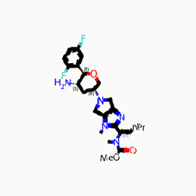 CCC/C=C(\c1nc2c(n1C)CN([C@H]1CO[C@H](c3cc(F)ccc3F)[C@@H](N)C1)C2)N(C)C(=O)OC